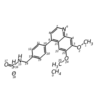 C.COc1cc2nccc(-c3ccc(CN[SH](=O)=O)cc3)c2cc1OC